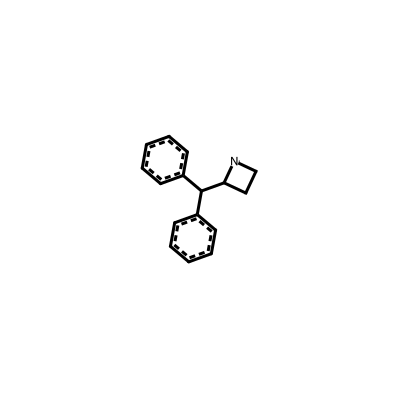 c1ccc(C(c2ccccc2)C2CC[N]2)cc1